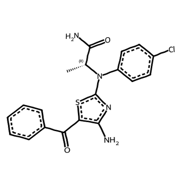 C[C@H](C(N)=O)N(c1ccc(Cl)cc1)c1nc(N)c(C(=O)c2ccccc2)s1